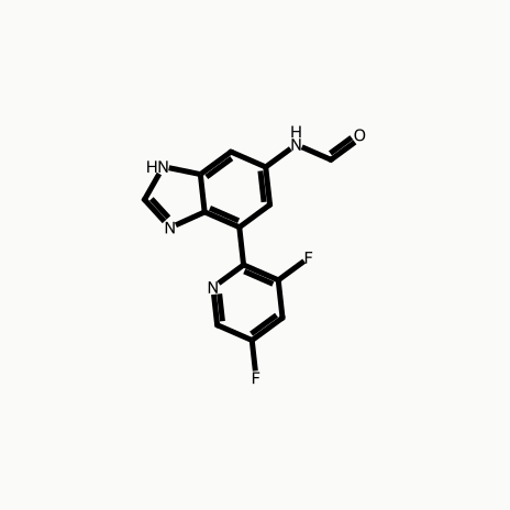 O=CNc1cc(-c2ncc(F)cc2F)c2nc[nH]c2c1